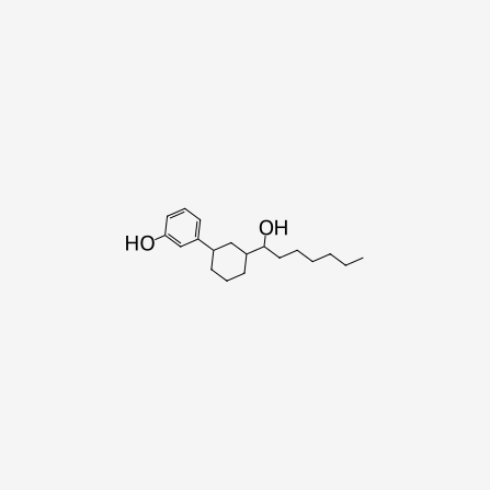 CCCCCCC(O)C1CCCC(c2cccc(O)c2)C1